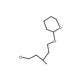 CC(CCCl)CCOC1CCCCO1